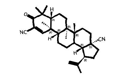 C=C(C)[C@@H]1CC[C@]2(C#N)CC[C@]3(C)C(CC[C@@H]4[C@@]5(C)C=C(C#N)C(=O)C(C)(C)[C@@H]5CC[C@]43C)[C@@H]12